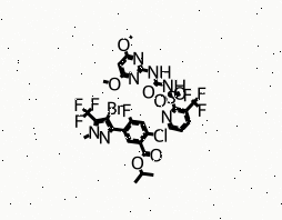 CC(C)OC(=O)c1cc(-c2nn(C)c(C(F)(F)F)c2Br)c(F)cc1Cl.COc1cc(OC)nc(NC(=O)NS(=O)(=O)c2ncccc2C(F)(F)F)n1